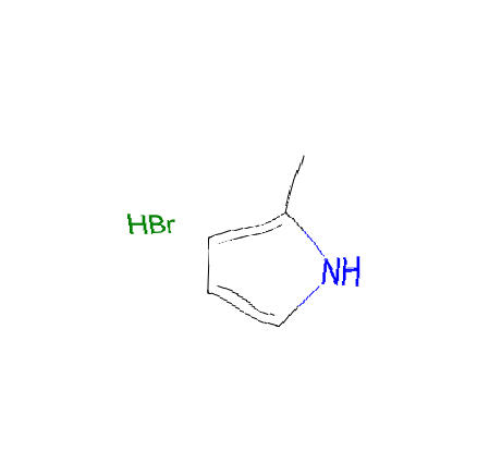 Br.Cc1ccc[nH]1